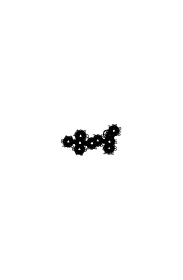 c1ccc(-c2c3ccccc3c(-c3ccc4cc(-c5c6ccccc6cc6c5oc5ccccc56)ccc4c3)c3ccccc23)cc1